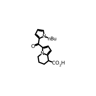 CCCCn1cccc1C(=O)c1ccc2n1CCCC2C(=O)O